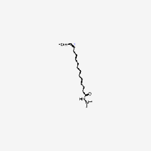 CCCCCCCC/C=C\CCCCCCCCCCCC(=O)NN(C)C